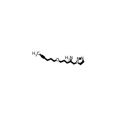 CC#CCCCOCCCC(N)Cn1ccnn1